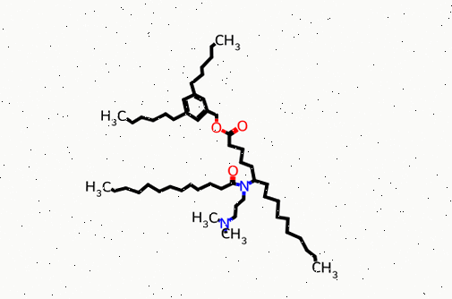 CCCCCCCCCCCCC(=O)N(CCCN(C)C)C(CCCCCCCCCC)CCCCC(=O)OCc1cc(CCCCCC)cc(CCCCCC)c1